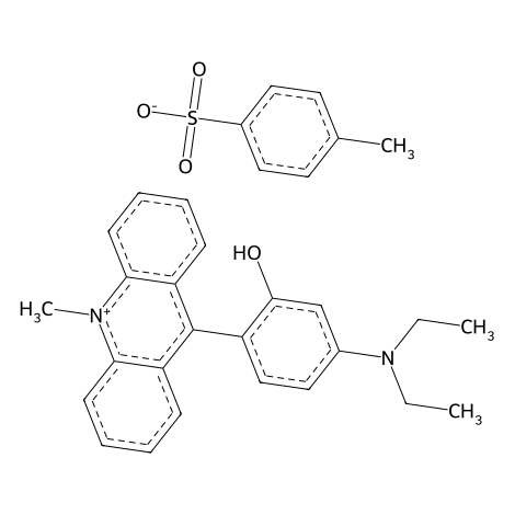 CCN(CC)c1ccc(-c2c3ccccc3[n+](C)c3ccccc23)c(O)c1.Cc1ccc(S(=O)(=O)[O-])cc1